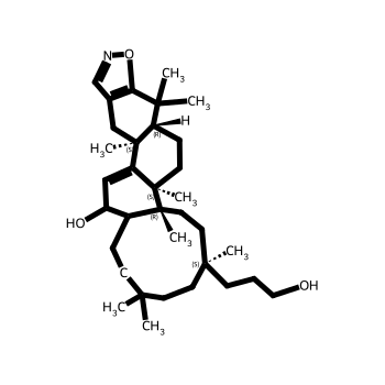 CC1(C)CCC2C(O)C=C3[C@@]4(C)Cc5cnoc5C(C)(C)[C@@H]4CC[C@@]3(C)[C@]2(C)CC[C@@](C)(CCCO)CC1